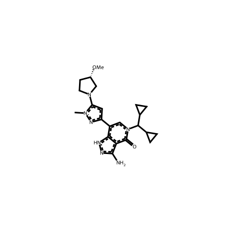 CO[C@H]1CCN(c2cc(-c3cn(C(C4CC4)C4CC4)c(=O)c4c(N)n[nH]c34)nn2C)C1